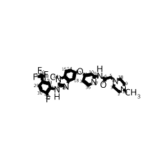 CN1CCN(CC(=O)Nc2cc(Oc3ccc4c(c3)nc(Nc3cc(C(F)(F)F)ccc3F)n4C)ccn2)CC1